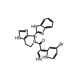 N=C/C(C(=O)N1CCc2[nH]cnc2[C@H]1c1nc2ccccc2[nH]1)=C1/C=C(Br)C=CN1